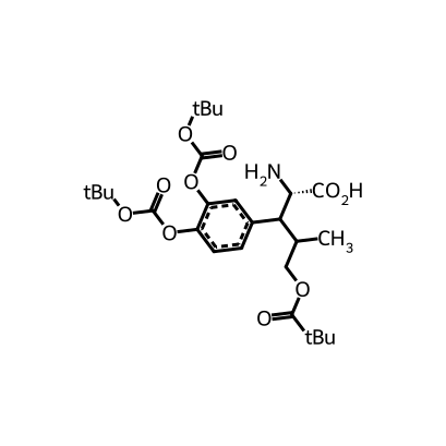 CC(COC(=O)C(C)(C)C)C(c1ccc(OC(=O)OC(C)(C)C)c(OC(=O)OC(C)(C)C)c1)[C@H](N)C(=O)O